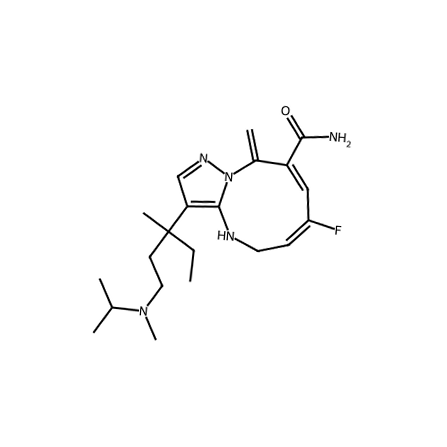 C=C1/C(C(N)=O)=C\C(F)=C/CNc2c(C(C)(CC)CCN(C)C(C)C)cnn21